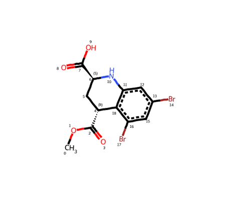 COC(=O)[C@@H]1C[C@@H](C(=O)O)Nc2cc(Br)cc(Br)c21